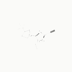 C#Cc1nc(N2CCC([Si](C)(C)C)C2)n(CC)n1